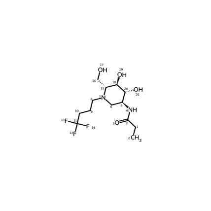 CCC(=O)N[C@H]1CN(CCCC(F)(F)F)[C@H](CO)[C@@H](O)[C@@H]1O